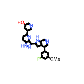 COc1cc(F)cc(-c2cncc3[nH]c(-c4n[nH]c5ccc(-c6cncc(O)c6)nc45)cc23)c1